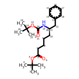 CC(C)(C)OC(=O)CCCC[C@H](Cc1ccccc1)NC(=O)OC(C)(C)C